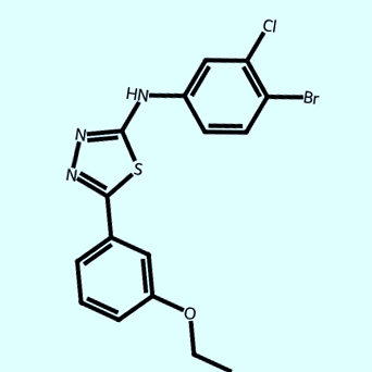 CCOc1cccc(-c2nnc(Nc3ccc(Br)c(Cl)c3)s2)c1